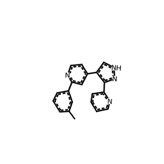 Cc1cccc(-c2cc(-c3c[nH]nc3-c3ccccn3)ccn2)c1